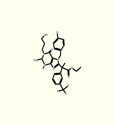 CCOC(=O)C(C)(c1cccc(C(F)(F)F)c1)c1nc2c(n1Cc1ccc(Cl)cc1)C(=O)N(CCCO)C(O)N2C